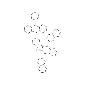 c1ccc(-c2c3ccccc3c(-c3ccc4nc5c(-c6ccc7ccccc7c6)c6ccccc6c(-c6ccc7ccccc7c6)c5n4c3)c3ccccc23)cc1